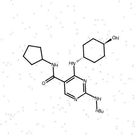 CCCCNc1ncc(C(=O)NC2CCCC2)c(N[C@H]2CC[C@H](O)CC2)n1